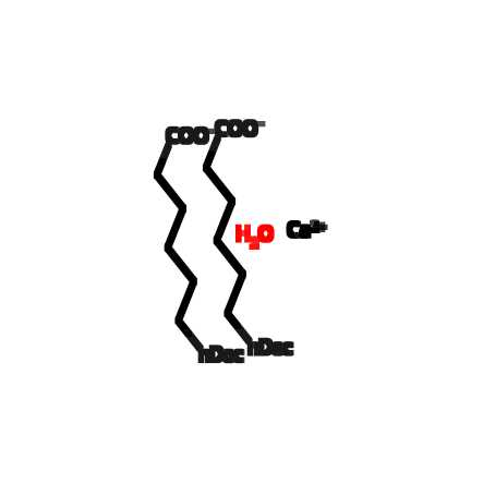 CCCCCCCCCCCCCCCC(=O)[O-].CCCCCCCCCCCCCCCC(=O)[O-].O.[Ca+2]